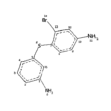 Nc1cccc(Sc2ccc(N)cc2Br)c1